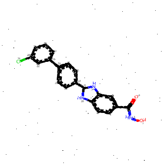 O=C(NO)c1ccc2c(c1)NC(c1ccc(-c3cccc(Cl)c3)cc1)N2